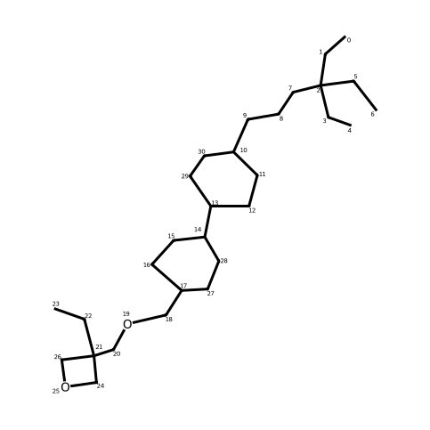 CCC(CC)(CC)CCCC1CCC(C2CCC(COCC3(CC)COC3)CC2)CC1